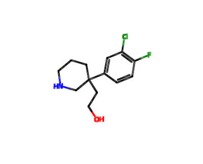 OCCC1(c2ccc(F)c(Cl)c2)CCCNC1